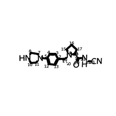 C[C@H](c1ccc(N2CCNCC2)cc1)N1CCC[C@H]1C(=O)NCC#N